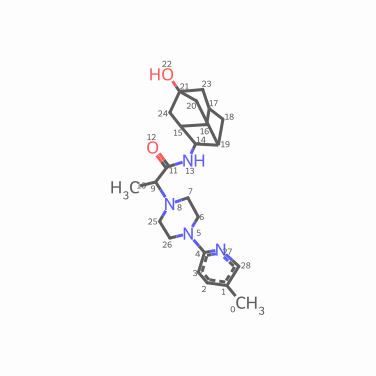 Cc1ccc(N2CCN(C(C)C(=O)NC3C4CC5CC3CC(O)(C5)C4)CC2)nc1